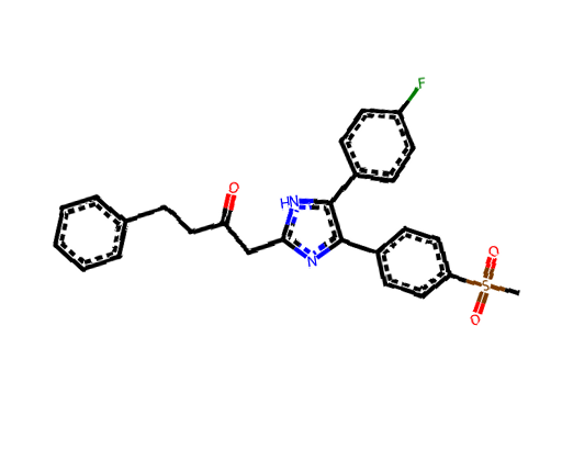 CS(=O)(=O)c1ccc(-c2nc(CC(=O)CCc3ccccc3)[nH]c2-c2ccc(F)cc2)cc1